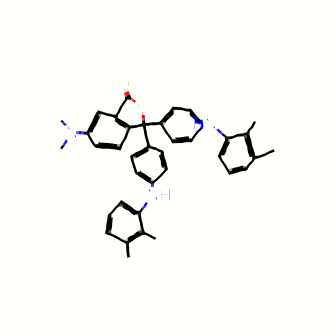 Cc1cccc(Nc2ccc(C3(c4ccc(Nc5cccc(C)c5C)cc4)OC(=O)c4cc(N(C)C)ccc43)cc2)c1C